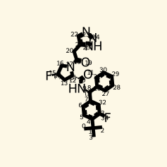 CC(C)(C)c1ccc([C@@H](NC(=O)[C@@H]2C[C@@H](F)CN2C(=O)Cc2cnn[nH]2)c2ccccc2)cc1F